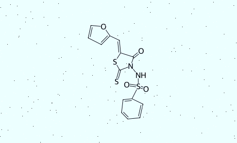 O=C1/C(=C/c2ccco2)SC(=S)N1NS(=O)(=O)c1ccccc1